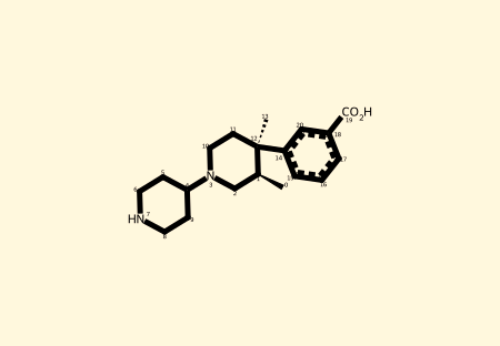 C[C@H]1CN(C2CCNCC2)CC[C@@]1(C)c1cccc(C(=O)O)c1